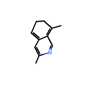 CC1=c2cnc(C)cc2=CCC1